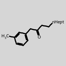 CCCCCCCCCC(=O)Cc1cccc(C)c1